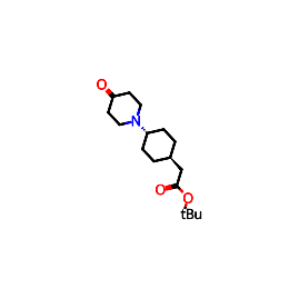 CC(C)(C)OC(=O)C[C@H]1CC[C@H](N2CCC(=O)CC2)CC1